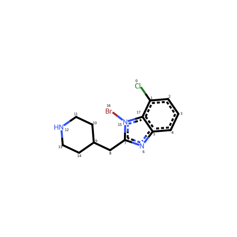 Clc1cccc2nc(CC3CCNCC3)n(Br)c12